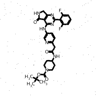 CC(C)(C)OC(=O)N1CCC(NC(=O)Cc2ccc(Nc3nc(-c4c(F)cccc4F)nc4c3C(=O)NC4)cn2)CC1